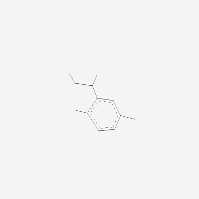 CC[C](C)c1cc(Cl)ccc1Cl